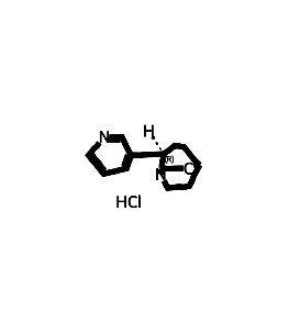 Cl.c1cncc([C@H]2CCC3CCN2CC3)c1